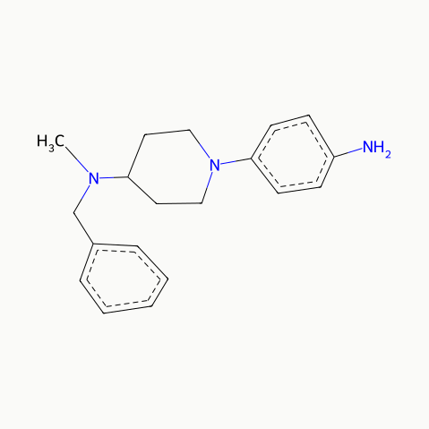 CN(Cc1ccccc1)C1CCN(c2ccc(N)cc2)CC1